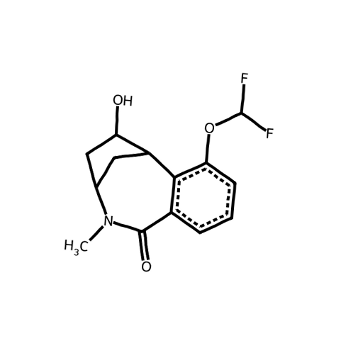 CN1C(=O)c2cccc(OC(F)F)c2C2CC1CC2O